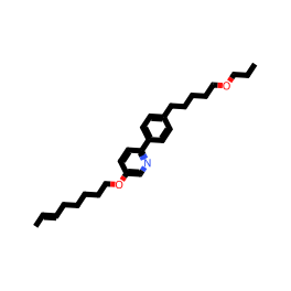 CC=CCCCCCOc1ccc(-c2ccc(CCCCCOCCC)cc2)nc1